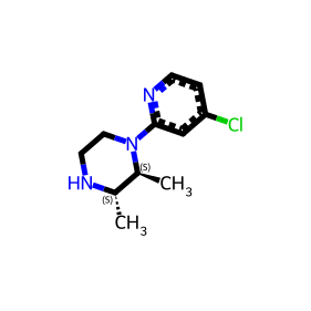 C[C@@H]1NCCN(c2cc(Cl)ccn2)[C@H]1C